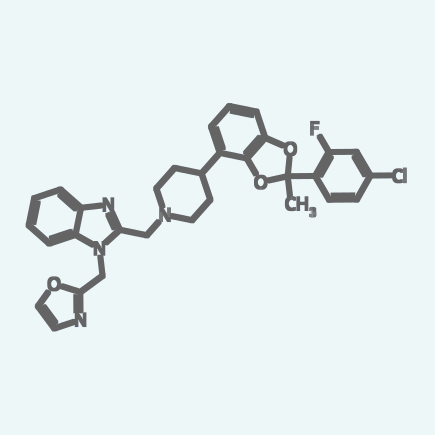 CC1(c2ccc(Cl)cc2F)Oc2cccc(C3CCN(Cc4nc5ccccc5n4Cc4ncco4)CC3)c2O1